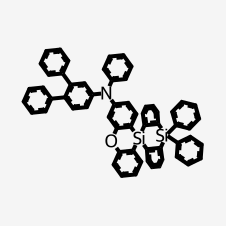 c1ccc(-c2ccc(N(c3ccccc3)c3ccc4c(c3)Oc3ccccc3[Si]43c4ccccc4[Si](c4ccccc4)(c4ccccc4)c4ccccc43)cc2-c2ccccc2)cc1